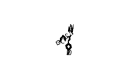 COc1ccc(CCC(Cn2ccnc2)Sc2ccc(OC)cc2)cc1